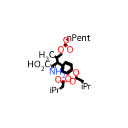 CCCCCOC(=O)OCC(C)C(c1ccc(OC(=O)CC(C)C)c(OC(=O)CC(C)C)c1)[C@H](N)C(=O)O